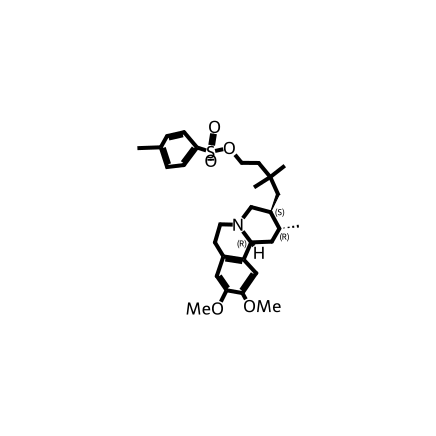 COc1cc2c(cc1OC)[C@H]1C[C@@H](C)[C@H](CC(C)(C)CCOS(=O)(=O)c3ccc(C)cc3)CN1CC2